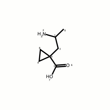 CC(N)CC1(C(=O)O)CC1